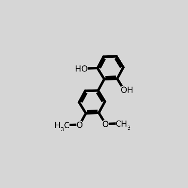 COc1ccc(-c2c(O)cccc2O)cc1OC